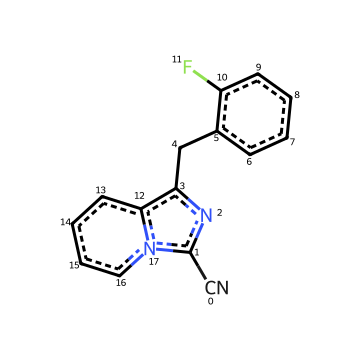 N#Cc1nc(Cc2ccccc2F)c2ccccn12